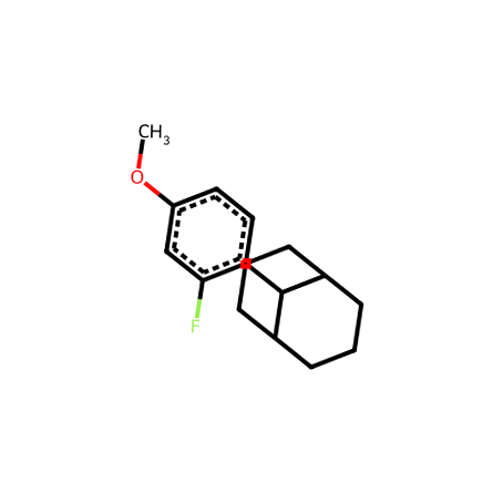 COc1ccc(C2C3CCCC2CCC3)c(F)c1